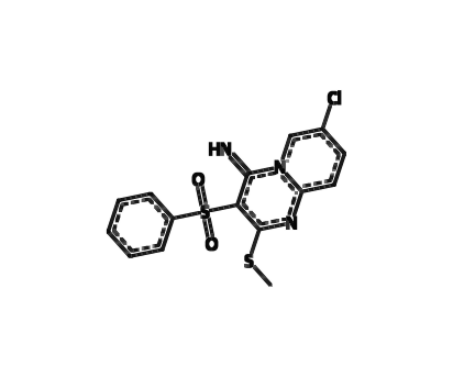 CSc1nc2ccc(Cl)cn2c(=N)c1S(=O)(=O)c1ccccc1